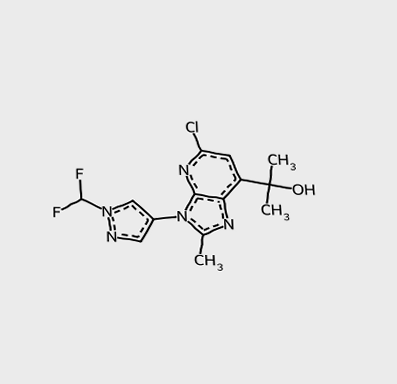 Cc1nc2c(C(C)(C)O)cc(Cl)nc2n1-c1cnn(C(F)F)c1